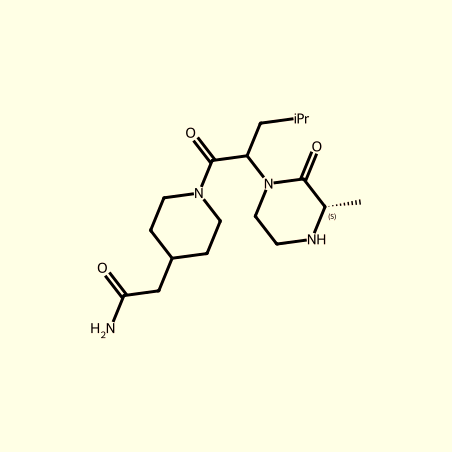 CC(C)CC(C(=O)N1CCC(CC(N)=O)CC1)N1CCN[C@@H](C)C1=O